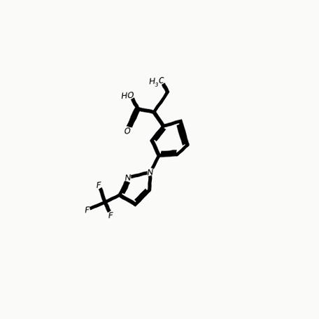 CCC(C(=O)O)c1cccc(-n2ccc(C(F)(F)F)n2)c1